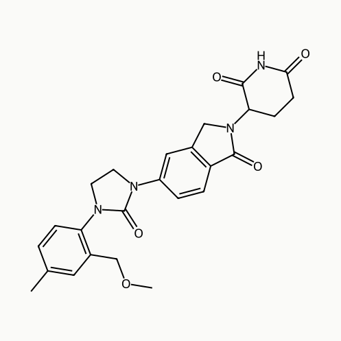 COCc1cc(C)ccc1N1CCN(c2ccc3c(c2)CN(C2CCC(=O)NC2=O)C3=O)C1=O